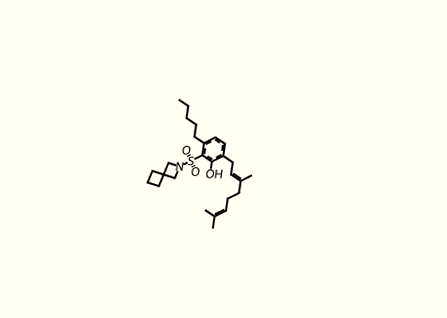 CCCCCc1ccc(C/C=C(\C)CCC=C(C)C)c(O)c1S(=O)(=O)N1CC2(CCC2)C1